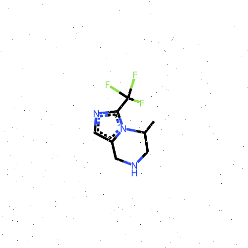 CC1CNCc2cnc(C(F)(F)F)n21